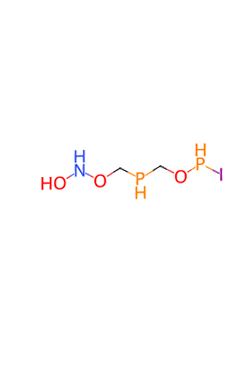 ONOCPCOPI